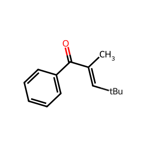 CC(=CC(C)(C)C)C(=O)c1ccccc1